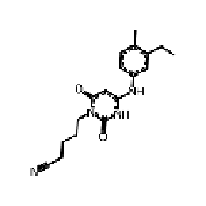 CCc1cc(Nc2cc(=O)n(CCCCC#N)c(=O)[nH]2)ccc1C